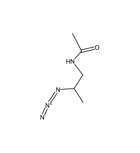 CC(=O)NCC(C)N=[N+]=[N-]